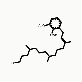 CC(=O)Oc1cccc(C/C=C(\C)CCCC(C)CCCC(C)CCCC(C)C)c1OC(C)=O